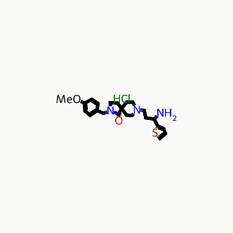 COc1ccc(CN2CCC3(CCN(CCC(N)c4cccs4)CC3)C2=O)cc1.Cl